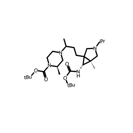 CC(C)N1CC2(CCC(C)N3CCN(C(=O)OC(C)(C)C)[C@H](C)C3)[C@@H](NC(=O)OC(C)(C)C)[C@]2(C)C1